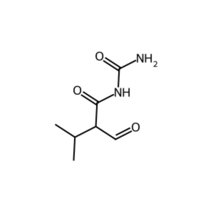 CC(C)C(C=O)C(=O)NC(N)=O